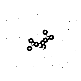 Cc1nccc2c1c(-c1ccc3c(c1)c1ccccc1n3-c1ccccc1)cc1cc3c(cc12)c1ccccc1n3-c1ccccc1